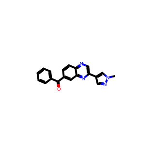 Cn1cc(-c2cnc3ccc(C(=O)c4ccccc4)cc3n2)cn1